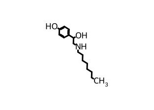 CCCCCCCCNCC(O)c1ccc(O)cc1